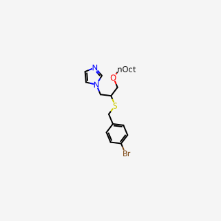 CCCCCCCCOCC(Cn1ccnc1)SCc1ccc(Br)cc1